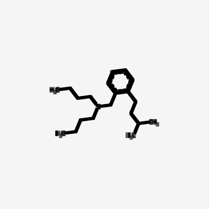 CCCCN(CCCC)Cc1c[c]ccc1CCC(C)C